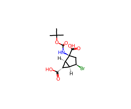 CC(C)(C)OC(=O)N[C@@]1(C(=O)O)C[C@@H](Br)[C@H]2[C@H](C(=O)O)[C@H]21